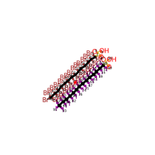 O=S(=O)(O)C(Br)(Br)C(Br)(Br)C(Br)(Br)C(Br)(Br)C(Br)(Br)C(Br)(Br)C(Br)(Br)C(Br)(Br)C(Br)(Br)C(Br)(Br)C(Br)(Br)C(Br)(Br)C(Br)(Br)C(Br)(Br)Br.O=S(=O)(O)C(I)(I)C(I)(I)C(I)(I)C(I)(I)C(I)(I)C(I)(I)C(I)(I)C(I)(I)C(I)(I)C(I)(I)C(I)(I)C(I)(I)C(I)(I)C(I)(I)I